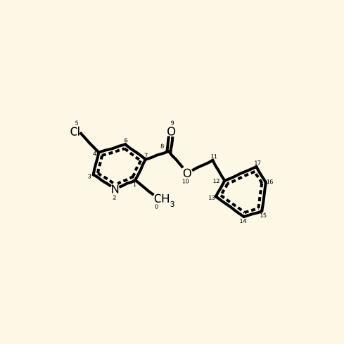 Cc1ncc(Cl)cc1C(=O)OCc1ccccc1